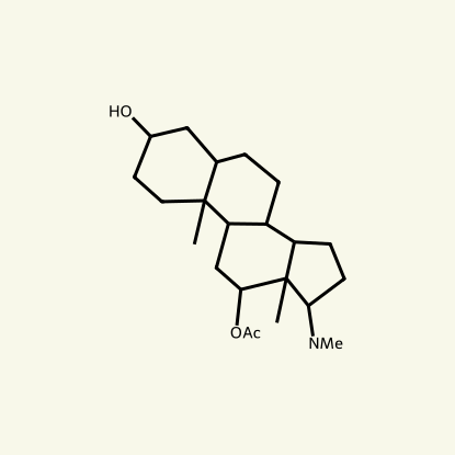 CNC1CCC2C3CCC4CC(O)CCC4(C)C3CC(OC(C)=O)C12C